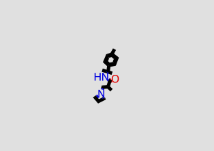 Cc1ccc(C(C)(C)NC(=O)C(C)CN2CCC2)cc1